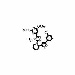 COc1cc(-c2nnc(N3CCCCC3c3cc(-c4cccc(Cl)c4)on3)n2C)nc(OC)n1